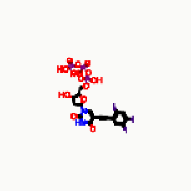 O=c1[nH]c(=O)n([C@H]2C[C@@H](O)[C@@H](COP(=O)(O)OP(=O)(O)OP(=O)(O)O)O2)cc1C#Cc1cc(I)c(I)cc1I